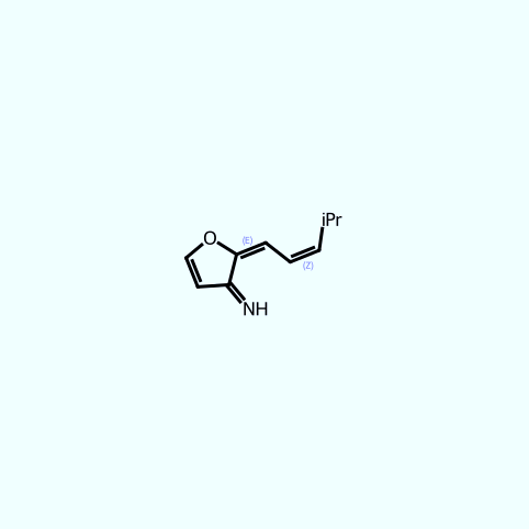 CC(C)/C=C\C=C1\OC=CC1=N